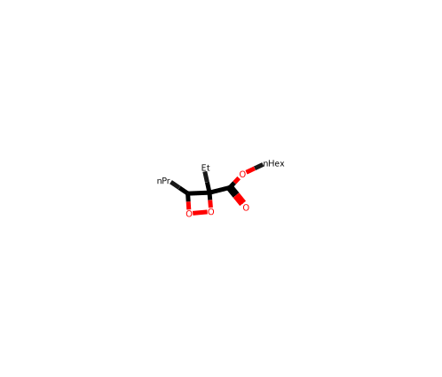 CCCCCCOC(=O)C1(CC)OOC1CCC